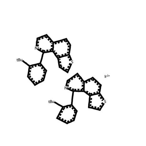 CC(C)(C)c1ccccc1-c1nccc2ccc3sccc3c12.CC(C)(C)c1ccccc1-c1nccc2ccc3sccc3c12.[Ir+3]